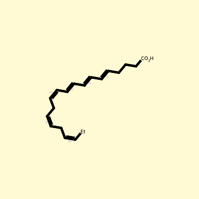 CC/C=C\C/C=C\C\C=C/C=C/C=C/C=C/CCCC(=O)O